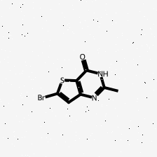 Cc1nc2cc(Br)sc2c(=O)[nH]1